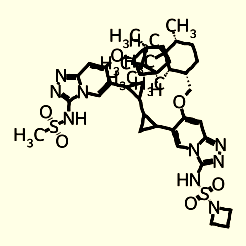 C[C@@H]1CC[C@H](COc2cc3nnc(NS(=O)(=O)N4CCC4)n3cc2C2CC2C2CC2c2cn3c(NS(C)(=O)=O)nnc3cc2O[C@@H]2C[C@@H]3CC[C@@]2(C)C3(C)C)[C@H](C)C1(C)C